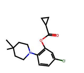 CC1(C)CCN(c2ccc(Cl)cc2OC(=O)C2CC2)CC1